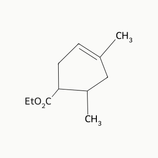 CCOC(=O)C1CC=C(C)CC1C